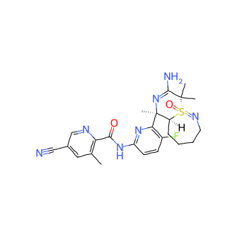 Cc1cc(C#N)cnc1C(=O)Nc1ccc(F)c([C@@]2(C)N=C(N)C(C)(C)[S@]3(=O)=NCCCC[C@@H]23)n1